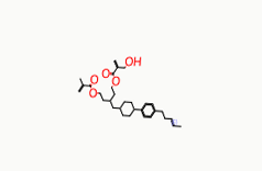 C=C(C)C(=O)OCCC(CCOC(=O)C(=C)CO)CC1CCC(c2ccc(CC/C=C/C)cc2)CC1